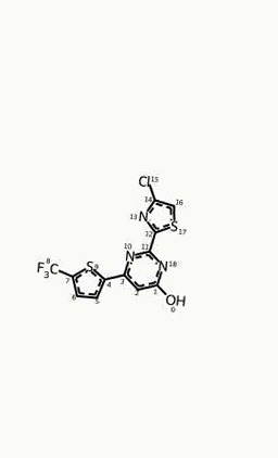 Oc1cc(-c2ccc(C(F)(F)F)s2)nc(-c2nc(Cl)cs2)n1